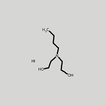 CCCCN(CCO)CCO.I